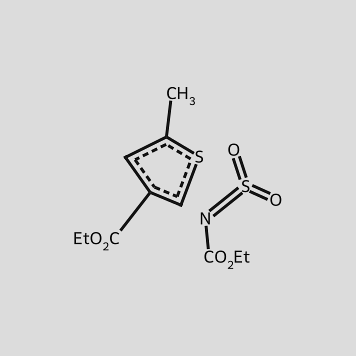 CCOC(=O)N=S(=O)=O.CCOC(=O)c1csc(C)c1